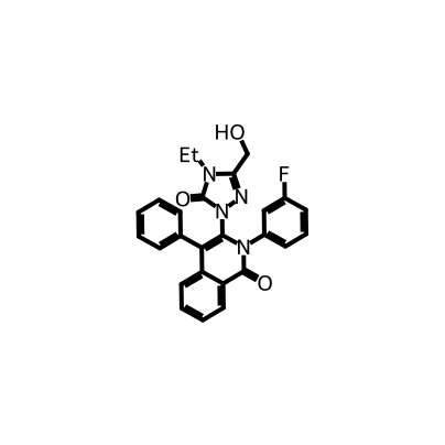 CCn1c(CO)nn(-c2c(-c3ccccc3)c3ccccc3c(=O)n2-c2cccc(F)c2)c1=O